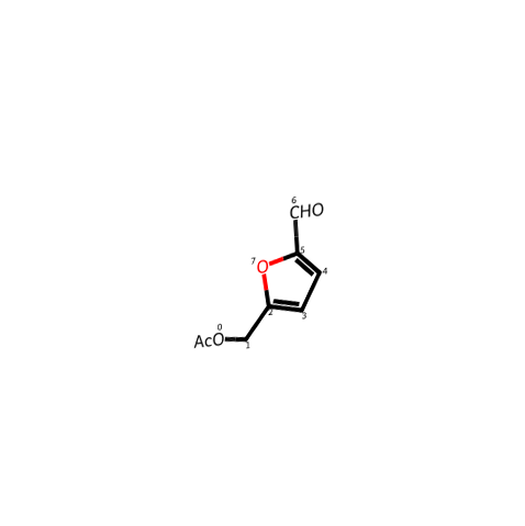 CC(=O)OCc1ccc(C=O)o1